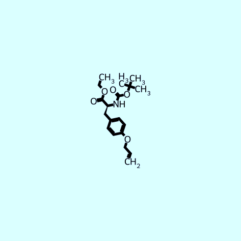 C=CCOc1ccc(C[C@H](NC(=O)OC(C)(C)C)C(=O)OCC)cc1